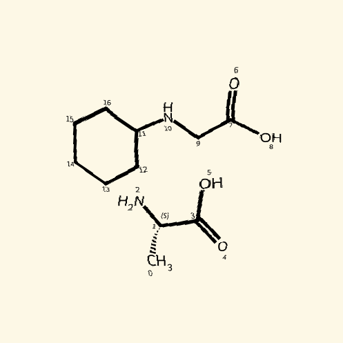 C[C@H](N)C(=O)O.O=C(O)CNC1CCCCC1